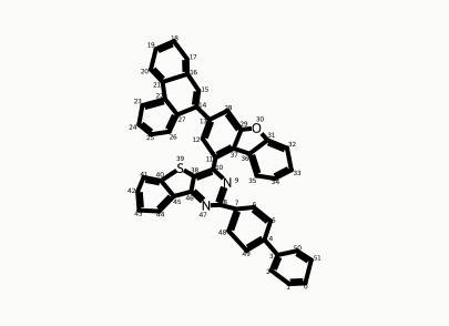 c1ccc(-c2ccc(-c3nc(-c4cc(-c5cc6ccccc6c6ccccc56)cc5oc6ccccc6c45)c4sc5ccccc5c4n3)cc2)cc1